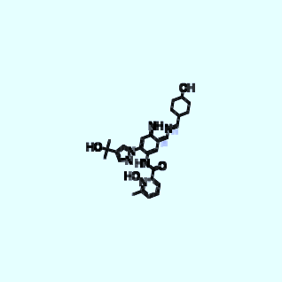 Cc1cccc(C(=O)NC2=C/C(=C/N=C/C3CCC(O)CC3)C(=N)C=C2n2cc(C(C)(C)O)cn2)[n+]1O